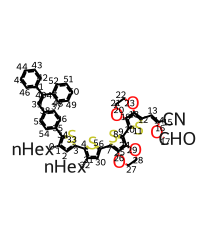 CCCCCCc1cc(-c2sc(-c3sc(-c4sc(/C=C(/C#N)OC=O)c5c4OCCO5)c4c3OCCO4)cc2CCCCCC)sc1-c1ccc(C=C(c2ccccc2)c2ccccc2)cc1